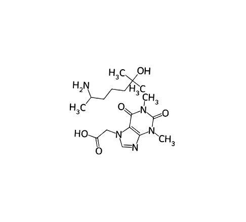 CC(N)CCCC(C)(C)O.Cn1c(=O)c2c(ncn2CC(=O)O)n(C)c1=O